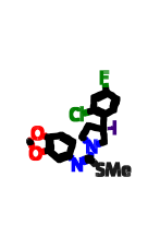 CS/C(=N/c1ccc2c(c1)OCO2)N1CC[C@@](I)(c2ccc(F)cc2Cl)C1